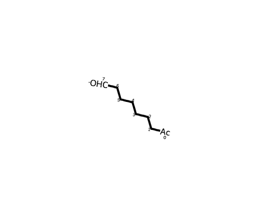 CC(=O)CCCCCC[C]=O